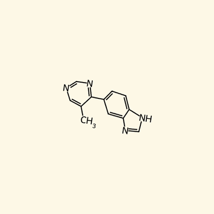 Cc1cncnc1-c1ccc2[nH]cnc2c1